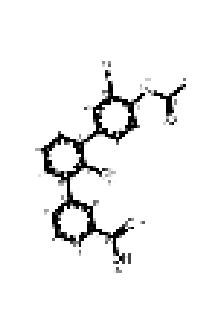 CC(=O)Nc1ccc(-c2cccc(-c3ccnc(C(=O)O)c3)c2O)cc1F